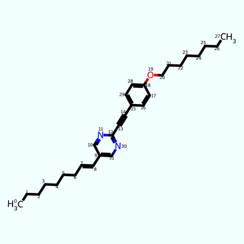 CCCCCCC/C=C/c1cnc(C#Cc2ccc(OCCCCCCCC)cc2)nc1